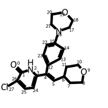 O=c1[nH]c(/C(=C/C2CCOCC2)c2ccc(N3CCOCC3)cc2)ccc1Cl